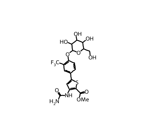 COC(=O)c1sc(-c2ccc(OC3OC(CO)C(O)C(O)C3O)c(C(F)(F)F)c2)cc1NC(N)=O